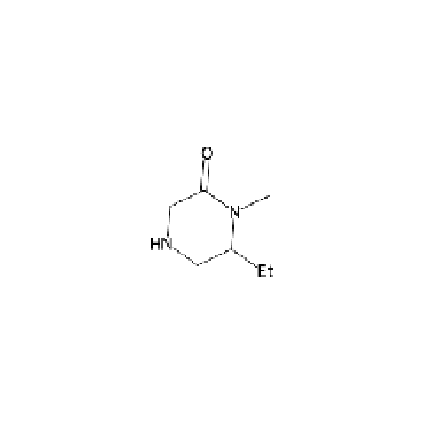 CCC1CNCC(=O)N1C